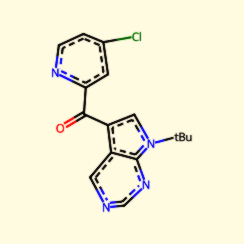 CC(C)(C)n1cc(C(=O)c2cc(Cl)ccn2)c2cncnc21